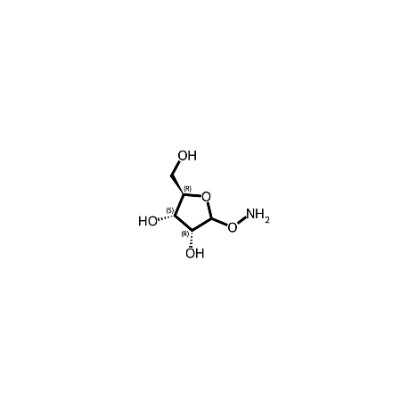 NOC1O[C@H](CO)[C@@H](O)[C@H]1O